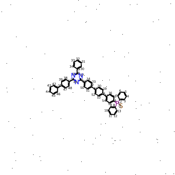 S=P(c1ccccc1)(c1ccccc1)c1ccc(-c2ccc(-c3ccc(-c4nc(-c5ccccc5)nc(-c5ccc(-c6ccccc6)cc5)n4)cc3)cc2)cc1